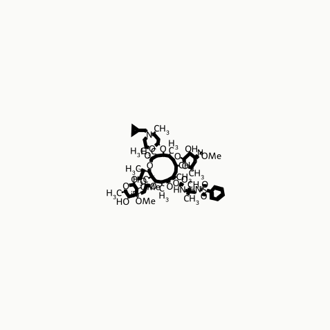 CO/N=C1\C[C@@H](C)O[C@@H](O[C@@H]2[C@@H](C)[C@H](O[C@H]3C[C@H](C)N(CC4CC4)C[C@H](C)O3)[C@@H](C)C(=O)O[C@H](C(C)CO[C@@H]3O[C@H](C)[C@@H](O)[C@@H](OC)[C@H]3OC)[C@H](C)[C@@H](OC(=O)CC(C)C)[C@@H](C)C(=O)[C@@](C)(OC(=O)NC(C)(C)CNS(=O)(=O)c3ccccc3)C[C@@H]2C)[C@@H]1O